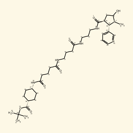 CN1C(O)C[C@H](C(=O)NCCCNC(=O)CCCNC(=O)CCCC(=O)N[C@H]2CC[C@@H](C(=O)OC(C)(C)C)CC2)[C@H]1c1cccnc1